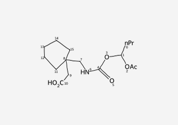 CCCC(OC(C)=O)OC(=O)NCC1(CC(=O)O)CCCCC1